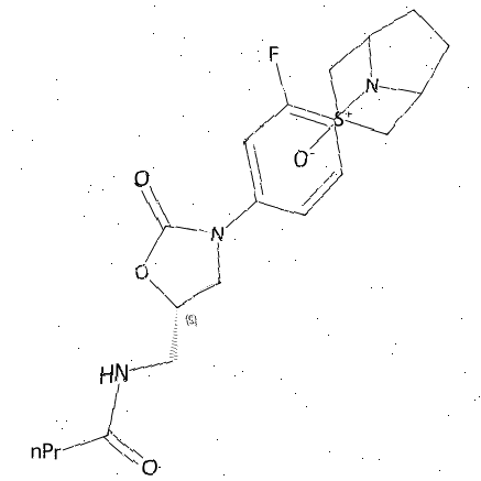 CCCC(=O)NC[C@H]1CN(c2ccc(N3C4CCC3C[S+]([O-])C4)c(F)c2)C(=O)O1